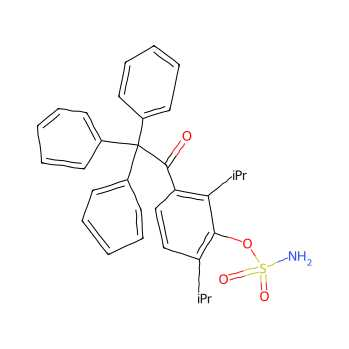 CC(C)c1ccc(C(=O)C(c2ccccc2)(c2ccccc2)c2ccccc2)c(C(C)C)c1OS(N)(=O)=O